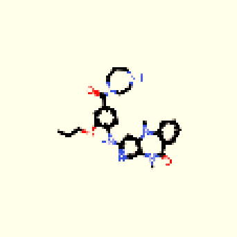 CCCOc1cc(C(=O)N2CCCNCC2)ccc1Nc1cc2c(cn1)N(C)C(=O)c1ccccc1N2C